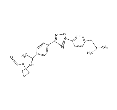 CC(C)Cc1ccc(-c2nc(-c3ccc(C(C)NC4(OC=O)CCC4)cc3)no2)cc1